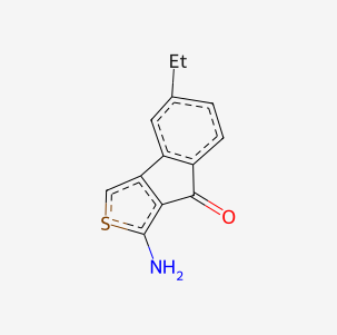 CCc1ccc2c(c1)-c1csc(N)c1C2=O